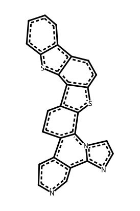 c1ccc2c(c1)sc1c2ccc2sc3c(ccc4c5ccncc5c5nccn5c43)c21